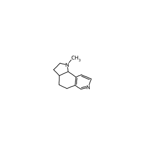 CN1CCC2CCc3cnccc3C21